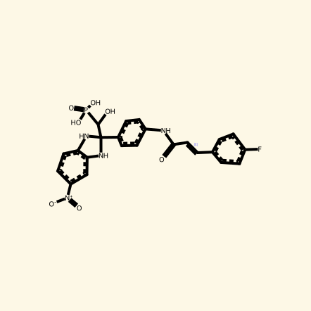 O=C(/C=C/c1ccc(F)cc1)Nc1ccc(C2(C(O)P(=O)(O)O)Nc3ccc([N+](=O)[O-])cc3N2)cc1